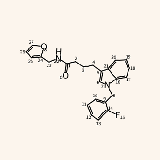 O=C(CCCc1cn(Cc2ccccc2F)c2ccccc12)NCc1ccco1